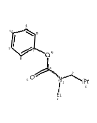 [CH2]CN(CC(C)C)C(=O)Oc1ccccc1